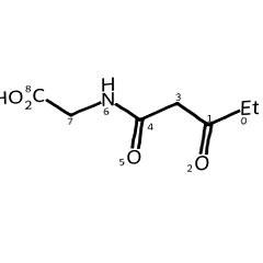 CCC(=O)CC(=O)NCC(=O)O